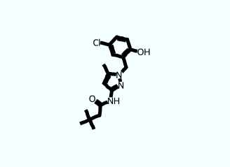 Cc1cc(NC(=O)CC(C)(C)C)nn1Cc1cc(Cl)ccc1O